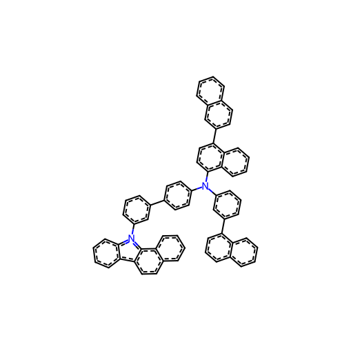 c1cc(-c2cccc3ccccc23)cc(N(c2ccc(-c3cccc(-n4c5ccccc5c5ccc6ccccc6c54)c3)cc2)c2ccc(-c3ccc4ccccc4c3)c3ccccc23)c1